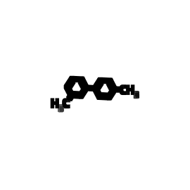 Cc1ccc(-c2cccc(C)c2)cc1